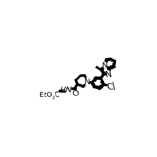 CCOC(=O)CCNC(=O)C1CCCN(c2ccc(Cl)c(-c3nc4ccccn4c3C)c2)C1